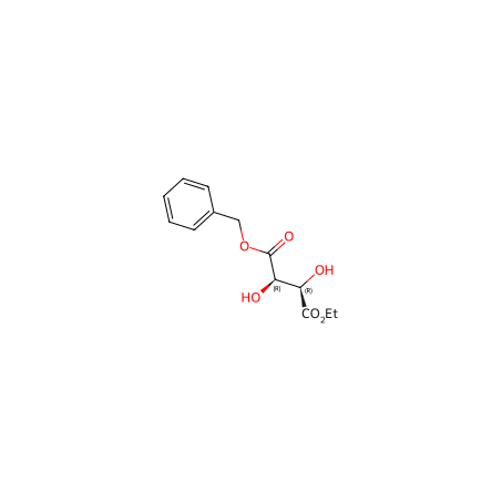 CCOC(=O)[C@H](O)[C@@H](O)C(=O)OCc1ccccc1